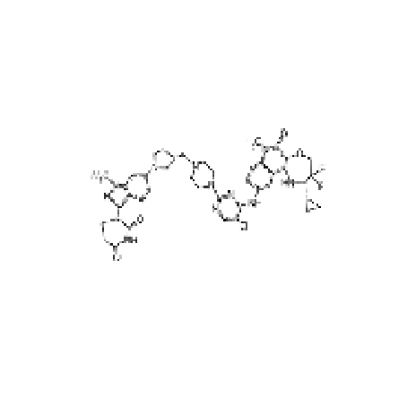 Cn1nc(C2CCC(=O)NC2=O)c2ccc(N3CC[C@@H](CN4CCN(c5ncc(Cl)c(Nc6ccc7c(c6)c6c(c(=O)n7C)OCC(F)(F)[C@H](C7CC7)N6)n5)CC4)C3)cc21